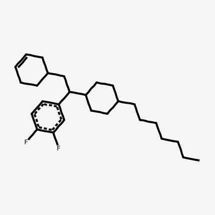 CCCCCCCC1CCC(C(CC2CC=CCC2)c2ccc(F)c(F)c2)CC1